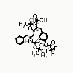 CC(C)(C)OC(=O)N[C@H](Cc1ccccc1)C[C@@H]1OC(C)(C)N(C(=O)O)[C@H]1Cc1ccc(OC(=O)C(F)(F)F)cc1